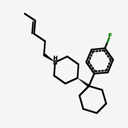 CC=CCC[Si@H]1CC[C@H](C2(c3ccc(F)cc3)CCCCC2)CC1